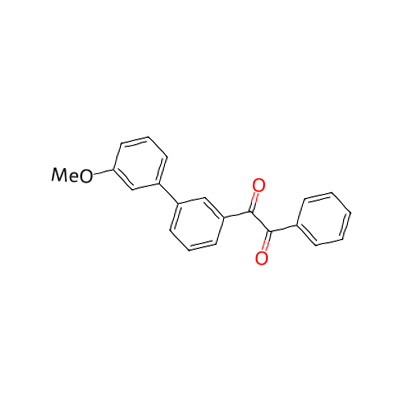 COc1cccc(-c2cccc(C(=O)C(=O)c3ccccc3)c2)c1